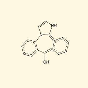 OC1=c2ccccc2=C2NC=CN2c2ccccc21